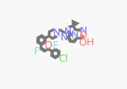 N#CCC1(Cn2c(CN3CCC(c4cccc5c4OC(c4ccc(Cl)cc4F)C=C5F)CC3)nc3ccc(C(=O)O)nc32)CC1